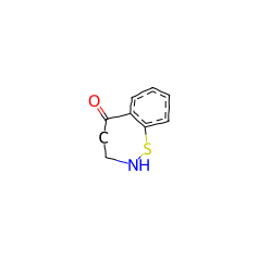 O=C1CCNSc2ccccc21